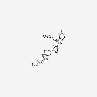 COCCn1c(-c2cn(C)c(-c3ccc4sc(OC(=O)C(F)(F)F)nc4c3)n2)nc2ccc(C)cc21